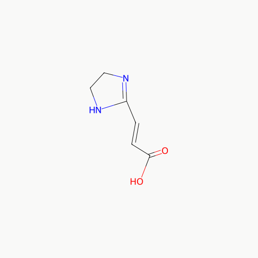 O=C(O)C=CC1=NCCN1